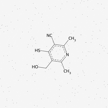 Cc1nc(C)c(CO)c(S)c1C#N